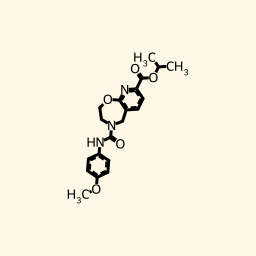 COc1ccc(NC(=O)N2CCOc3nc(C(=O)OC(C)C)ccc3C2)cc1